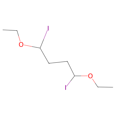 CCOC(I)CCC(I)OCC